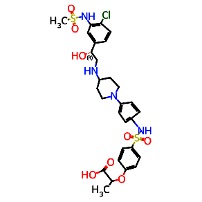 CC(Oc1ccc(S(=O)(=O)Nc2ccc(N3CCC(NC[C@H](O)c4ccc(Cl)c(NS(C)(=O)=O)c4)CC3)cc2)cc1)C(=O)O